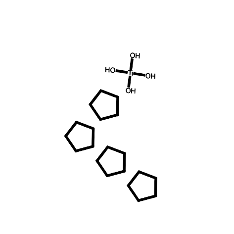 C1CCCC1.C1CCCC1.C1CCCC1.C1CCCC1.[OH][Ti]([OH])([OH])[OH]